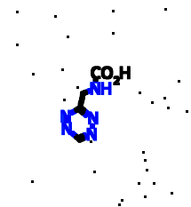 O=C(O)NCc1nncnn1